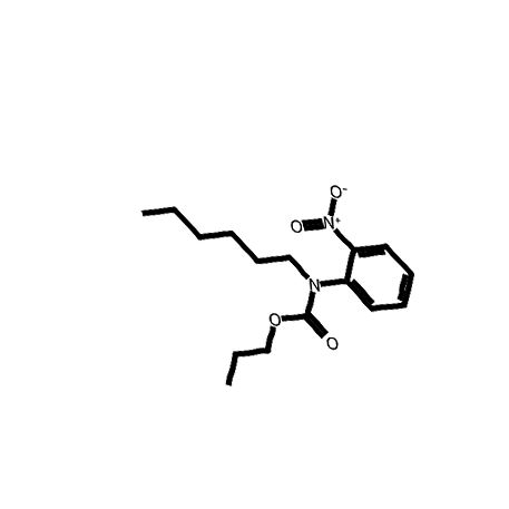 CCCCCCN(C(=O)OCCC)c1ccccc1[N+](=O)[O-]